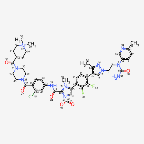 Cc1ccc(N(CCn2cc(-c3ccc(-c4cnc(C(=O)Nc5ccc(C(=O)N6CCN(C(=O)C7CC[N+](C)(C)CC7)CC6)c(Cl)c5)n4C)c(F)c3F)c(C)n2)C(N)=O)cn1.O=C[O-]